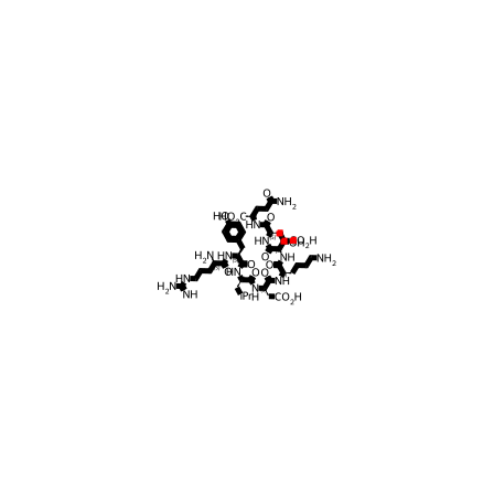 CC(C)C[C@H](NC(=O)[C@H](Cc1ccc(O)cc1)NC(=O)[C@@H](N)CCCNC(=N)N)C(=O)N[C@@H](CC(=O)O)C(=O)N[C@@H](CCCCN)C(=O)N[C@H](C(=O)N[C@@H](CCC(=O)O)C(=O)N[C@@H](CCC(N)=O)C(=O)O)[C@@H](C)O